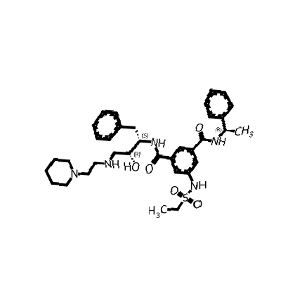 CCS(=O)(=O)Nc1cc(C(=O)N[C@@H](Cc2ccccc2)[C@H](O)CNCCN2CCCCC2)cc(C(=O)N[C@H](C)c2ccccc2)c1